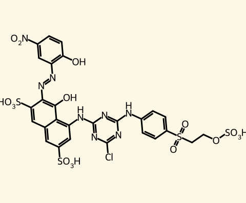 O=[N+]([O-])c1ccc(O)c(/N=N/c2c(S(=O)(=O)O)cc3cc(S(=O)(=O)O)cc(Nc4nc(Cl)nc(Nc5ccc(S(=O)(=O)CCOS(=O)(=O)O)cc5)n4)c3c2O)c1